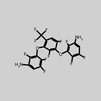 Nc1cc(F)c(F)c(Oc2c(F)cc(C(F)(F)F)c(Oc3c(F)c(N)cc(F)c3F)c2F)c1F